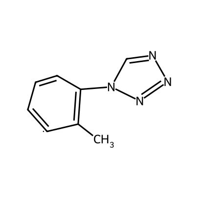 Cc1[c]cccc1-n1cnnn1